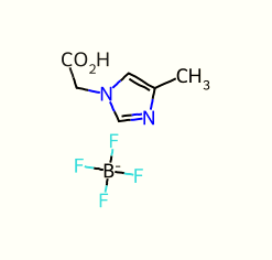 Cc1cn(CC(=O)O)cn1.F[B-](F)(F)F